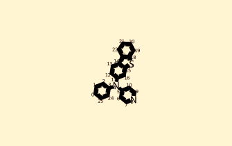 c1ccc(N(c2ccncc2)c2ccc3c(c2)sc2ccccc23)cc1